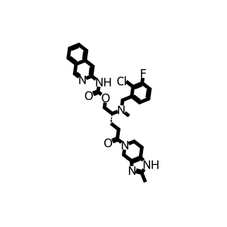 Cc1nc2c([nH]1)CCN(C(=O)CC[C@H](COC(=O)Nc1cc3ccccc3cn1)N(C)Cc1cccc(F)c1Cl)C2